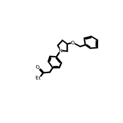 CCC(=O)Cc1ccc(N2CCC(OCc3ccccc3)C2)cc1